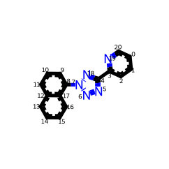 c1ccc(-c2nnn(-c3cccc4ccccc34)n2)nc1